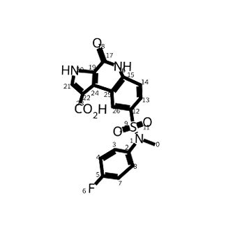 CN(c1ccc(F)cc1)S(=O)(=O)c1ccc2[nH]c(=O)c3[nH]cc(C(=O)O)c3c2c1